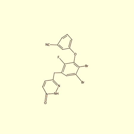 N#Cc1cccc(Oc2c(F)c(Cc3ccc(=O)[nH]n3)cc(Br)c2Br)c1